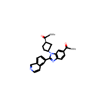 CNC(=O)c1ccc2nc(-c3ccc4cnccc4c3)n([C@H]3CC[C@@H](C(=O)NC)C3)c2c1